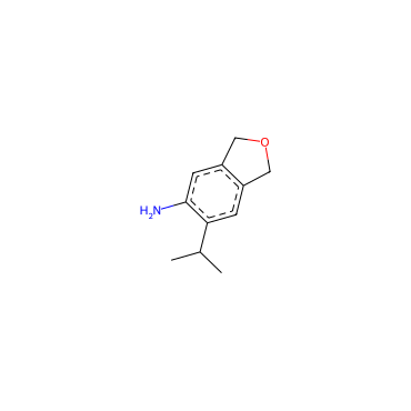 CC(C)c1cc2c(cc1N)COC2